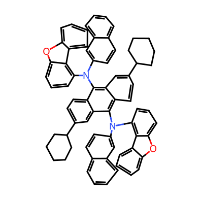 c1ccc2cc(N(c3c4ccc(C5CCCCC5)cc4c(N(c4ccc5ccccc5c4)c4cccc5oc6ccccc6c45)c4ccc(C5CCCCC5)cc34)c3cccc4oc5ccccc5c34)ccc2c1